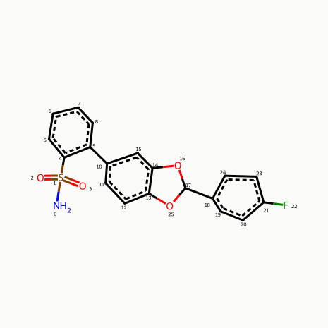 NS(=O)(=O)c1ccccc1-c1ccc2c(c1)OC(c1ccc(F)cc1)O2